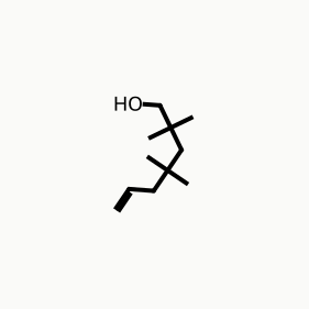 C=CCC(C)(C)CC(C)(C)CO